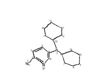 N#Cc1ccc(N(C2CCCCC2)C2CCCCC2)cn1